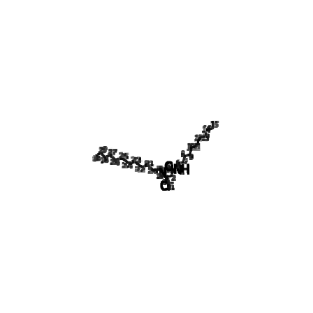 C=C(CC(=O)NCCCCCCCCCC)[N+](C)(C)CCCCCCCCCCCC.[Cl-]